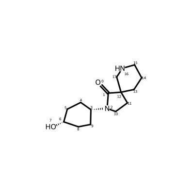 O=C1N([C@H]2CC[C@@H](O)CC2)CCC12CCCNC2